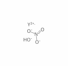 O=[N+]([O-])[O-].[OH-].[Y+2]